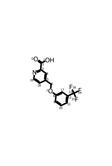 O=C(O)c1cc(COc2cccc(C(F)(F)F)c2)ccn1